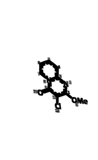 COc1nc2ccccn2c(=O)c1Cl